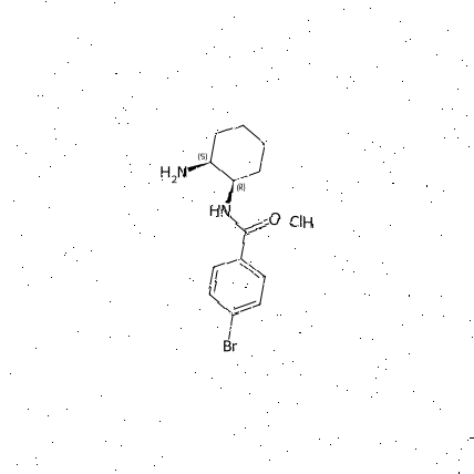 Cl.N[C@H]1CCCC[C@H]1NC(=O)c1ccc(Br)cc1